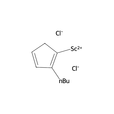 CCCCC1=[C]([Sc+2])CC=C1.[Cl-].[Cl-]